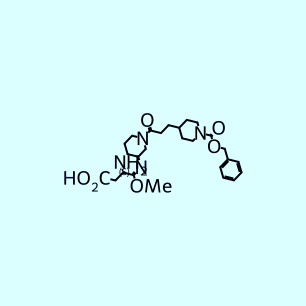 COC(=NC1CCCN(C(=O)CCC2CCN(C(=O)OCc3ccccc3)CC2)C1)[C@@H](N)CC(=O)O